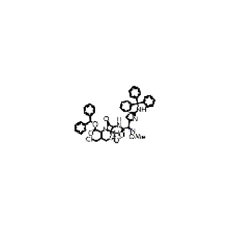 CO/N=C(\C(=O)NC1C(=O)N2C(C(=O)OC(c3ccccc3)c3ccccc3)=C(CCl)C[S+]([O-])[C@@H]12)c1csc(NC(c2ccccc2)(c2ccccc2)c2ccccc2)n1